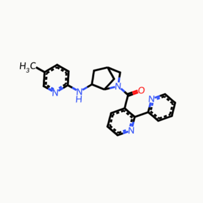 Cc1ccc(NC2CC3CC2N(C(=O)c2cccnc2-c2ccccn2)C3)nc1